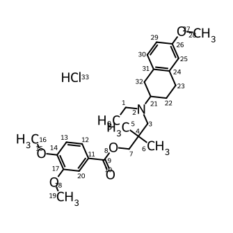 CCN(CC(C)(C)COC(=O)c1ccc(OC)c(OC)c1)C1CCc2cc(OC)ccc2C1.Cl